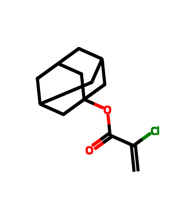 C=C(Cl)C(=O)OC12CC3CC(CC(C3)C1)C2